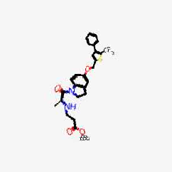 C[C@H](NCCC(=O)OC(C)(C)C)C(=O)N1CCc2cc(OCc3cc(-c4ccccc4)c(C(F)(F)F)s3)ccc21